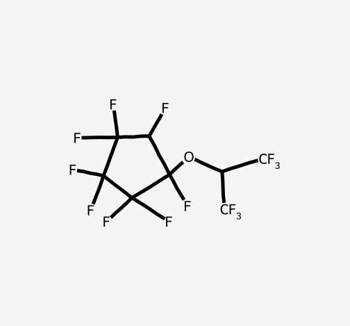 FC1C(F)(F)C(F)(F)C(F)(F)C1(F)OC(C(F)(F)F)C(F)(F)F